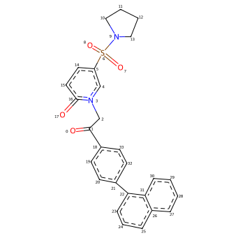 O=C(Cn1cc(S(=O)(=O)N2CCCC2)ccc1=O)c1ccc(-c2cccc3ccccc23)cc1